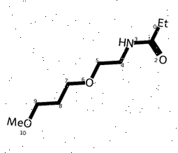 CCC(=O)NCCOCCCOC